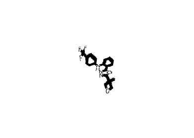 CC1(c2nnc(-c3ccccc3Nc3ccc(C(F)(F)F)cc3)o2)COC1